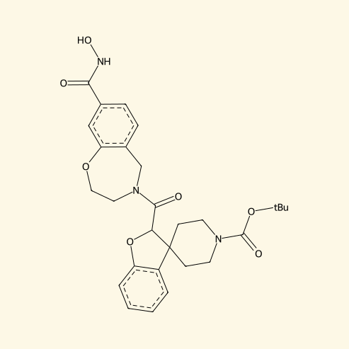 CC(C)(C)OC(=O)N1CCC2(CC1)c1ccccc1OC2C(=O)N1CCOc2cc(C(=O)NO)ccc2C1